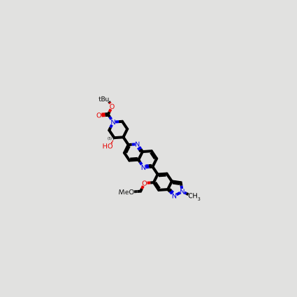 COCOc1cc2nn(C)cc2cc1-c1ccc2nc(C3CCN(C(=O)OC(C)(C)C)C[C@H]3O)ccc2n1